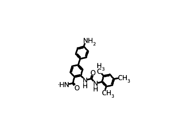 Cc1cc(C)c(NC(=O)Nc2cc(-c3ccc(N)cc3)ccc2C([NH])=O)c(C)c1